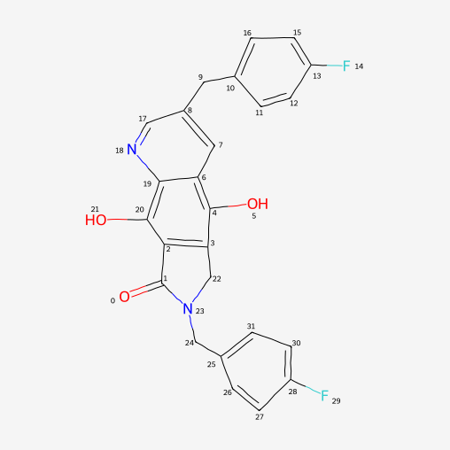 O=C1c2c(c(O)c3cc(Cc4ccc(F)cc4)cnc3c2O)CN1Cc1ccc(F)cc1